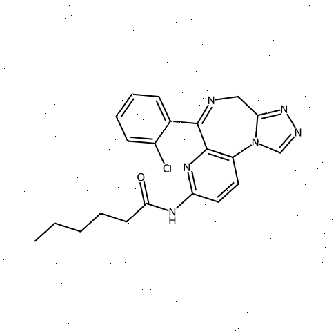 CCCCCC(=O)Nc1ccc2c(n1)C(c1ccccc1Cl)=NCc1nncn1-2